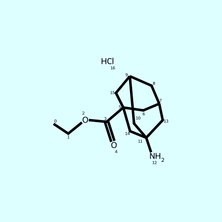 CCOC(=O)C12CC3CC(CC(N)(C3)C1)C2.Cl